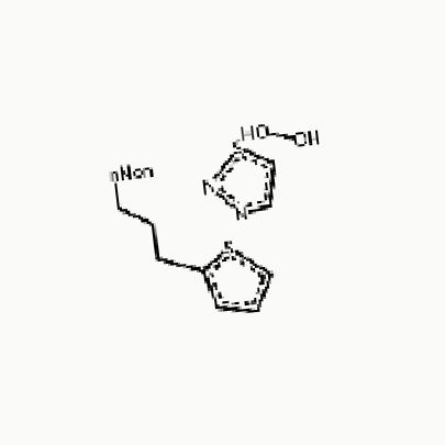 CCCCCCCCCCCCc1cccs1.OO.c1csnn1